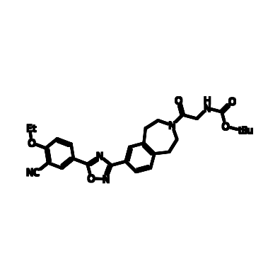 CCOc1ccc(-c2nc(-c3ccc4c(c3)CCN(C(=O)CNC(=O)OC(C)(C)C)CC4)no2)cc1C#N